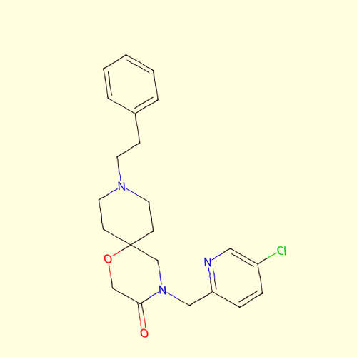 O=C1COC2(CCN(CCc3ccccc3)CC2)CN1Cc1ccc(Cl)cn1